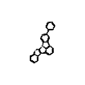 c1ccc(-c2ccc3c(c2)-c2cccc4c2B3c2sc3ccccc3c2-4)cc1